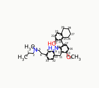 CCCN(C)CCc1ccc(Cc2c(OC)ccc(-c3c(O)ccc4c3CCCC4)c2N)cc1